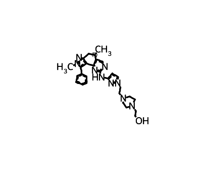 C[C@@H]1Cc2nn(C)c(-c3ccccc3)c2-c2nc(Nc3ccn(CCN4CCN(CCO)CC4)n3)ncc21